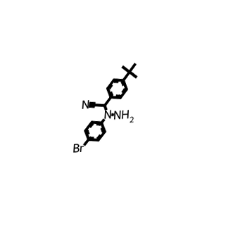 CC(C)(C)c1ccc(C(C#N)N(N)c2ccc(Br)cc2)cc1